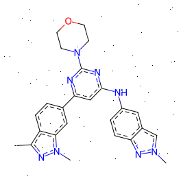 Cc1nn(C)c2cc(-c3cc(Nc4ccc5nn(C)cc5c4)nc(N4CCOCC4)n3)ccc12